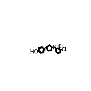 Oc1ccc(N2CCC(Nc3cccc(Cl)c3Cl)CC2)cc1